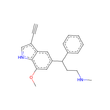 C#Cc1c[nH]c2c(OC)cc(C(CCNC)c3ccccc3)cc12